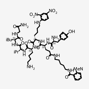 CCC(C)[C@H](NC(=O)[C@@H](NC(=O)[C@H](CCCCN)NC(=O)[C@H](CCCCNc1ccc([N+](=O)[O-])cc1[N+](=O)[O-])NC(=O)[C@H](CCC(=O)NCCCCCNC(=O)c1ccccc1NC)NC(=O)[C@@H](N)Cc1ccc(O)cc1)C(C)C)C(=O)NCC(N)=O